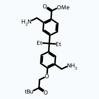 CCC(CC)(c1ccc(OCC(=O)C(C)(C)C)c(CN)c1)c1ccc(C(=O)OC)c(CN)c1